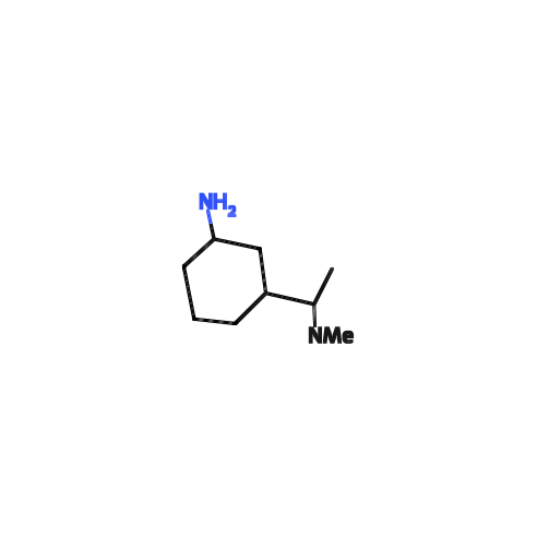 CNC(C)C1CCCC(N)C1